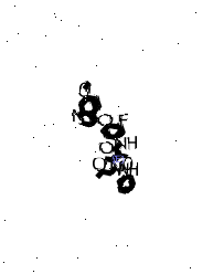 COc1ccc2c(Oc3ccc(NC(=O)/C(C=O)=C(\C)N(CC(C)=O)Nc4ccccc4)cc3F)ccnc2c1